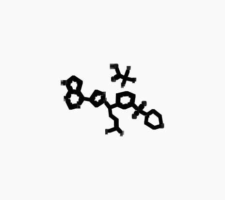 O=C(O)C(F)(F)F.O=S(=O)(c1cccc(C(CC=C(F)F)n2cc(-c3ncnc4[nH]ccc34)cn2)c1)N1CCOCC1